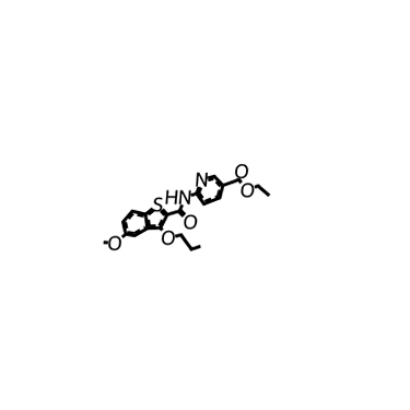 CCCOc1c(C(=O)Nc2ccc(C(=O)OCC)cn2)sc2ccc(OC)cc12